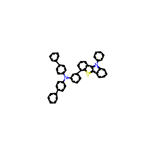 c1ccc(-c2ccc(N(c3ccc(-c4ccccc4)cc3)c3cccc(-c4cccc5c4sc4c6ccccc6n(-c6ccccc6)c54)c3)cc2)cc1